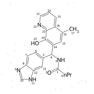 CCCC(=O)NC(c1ccc2nc[nH]c2c1)c1cc(C)c2cccnc2c1O